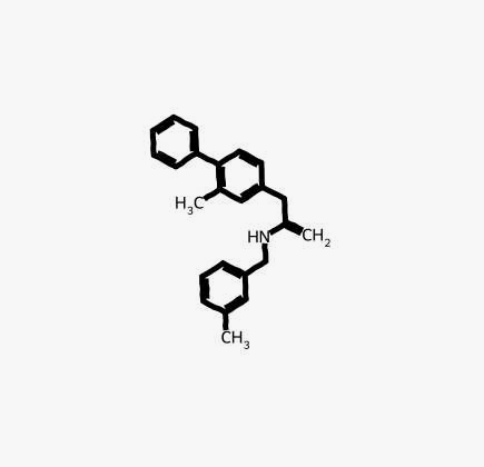 C=C(Cc1ccc(-c2ccccc2)c(C)c1)NCc1cccc(C)c1